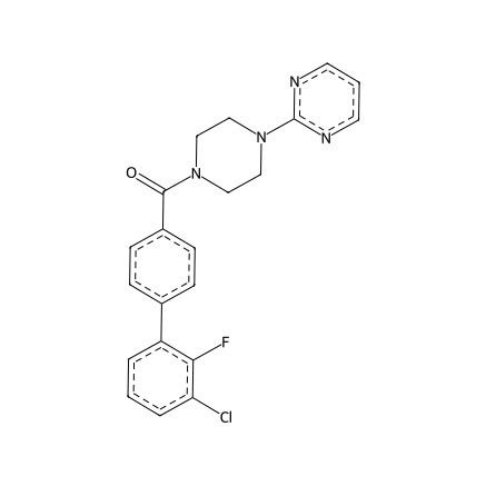 O=C(c1ccc(-c2cccc(Cl)c2F)cc1)N1CCN(c2ncccn2)CC1